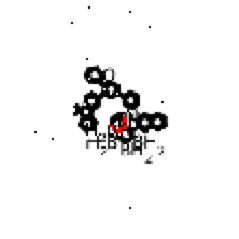 Bc1c(B)c(B)c(-c2cc3ccccc3cc2N(c2ccccc2)c2cccc(-c3cc(-c4ccc5c(c4)-c4ccccc4C5(C)C)c4c(c3)oc3ccccc34)c2)c(B)c1B